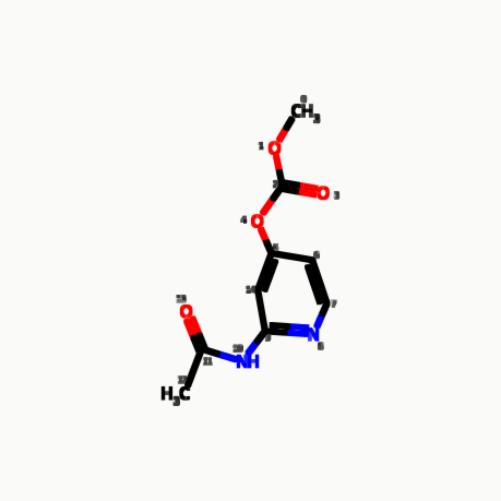 COC(=O)Oc1ccnc(NC(C)=O)c1